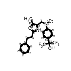 CCN(Cc1nc(CCc2ccccc2)oc1C)c1ccc(C(O)(C(F)(F)F)C(F)(F)F)cc1